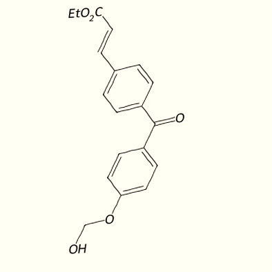 CCOC(=O)C=Cc1ccc(C(=O)c2ccc(OCO)cc2)cc1